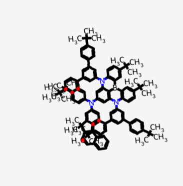 CC(C)(C)c1ccc(-c2cc(-c3ccc(C(C)(C)C)cc3)cc(N3c4ccc(C(C)(C)C)cc4B4c5cc(C(C)(C)C)ccc5N(c5cc(-c6ccc(C(C)(C)C)cc6)cc(-c6ccc(C(C)(C)C)cc6)c5)c5cc(N(c6ccc(C(C)(C)C)cc6)c6ccc7c(c6)C(C)(C)c6ccc8ccccc8c6-7)cc3c54)c2)cc1